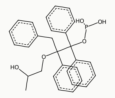 CC(O)COC(Cc1ccccc1)(c1ccccc1)C(OP(O)O)(c1ccccc1)c1ccccc1